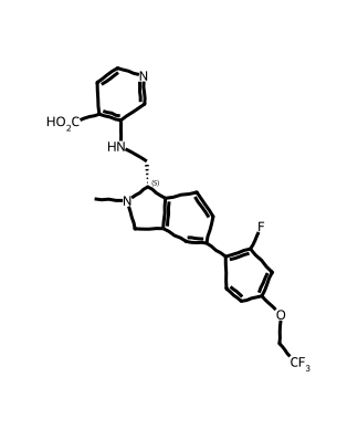 CN1Cc2cc(-c3ccc(OCC(F)(F)F)cc3F)ccc2[C@H]1CNc1cnccc1C(=O)O